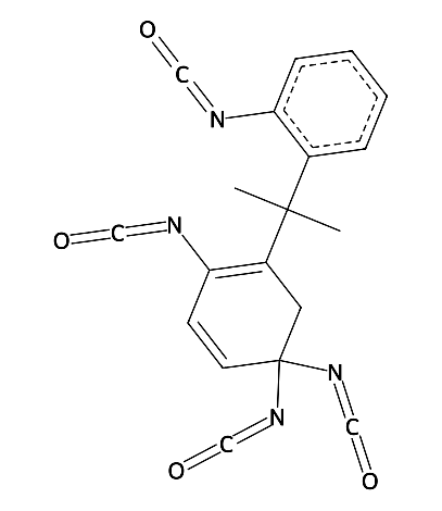 CC(C)(C1=C(N=C=O)C=CC(N=C=O)(N=C=O)C1)c1ccccc1N=C=O